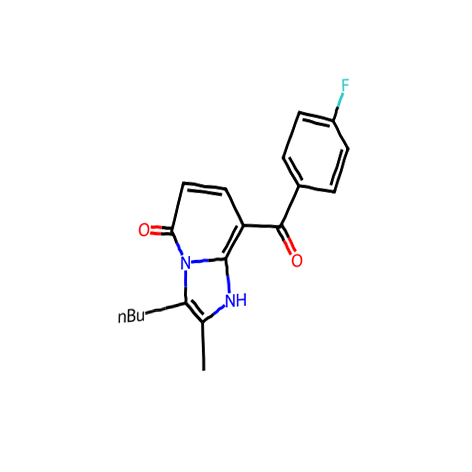 CCCCc1c(C)[nH]c2c(C(=O)c3ccc(F)cc3)ccc(=O)n12